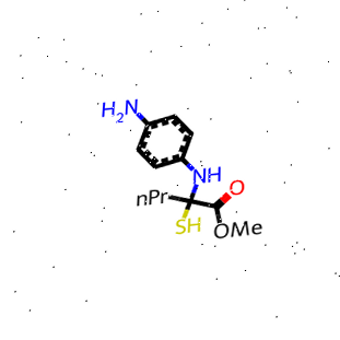 CCCC(S)(Nc1ccc(N)cc1)C(=O)OC